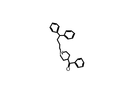 O=C(c1ccccc1)C1CCN(CCCC(c2ccccc2)c2ccccc2)CC1